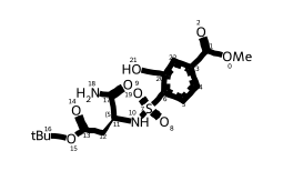 COC(=O)c1ccc(S(=O)(=O)N[C@@H](CC(=O)OC(C)(C)C)C(N)=O)c(O)c1